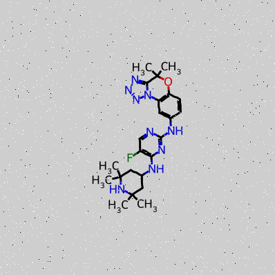 CC1(C)CC(Nc2nc(Nc3ccc4c(c3)-n3nnnc3C(C)(C)O4)ncc2F)CC(C)(C)N1